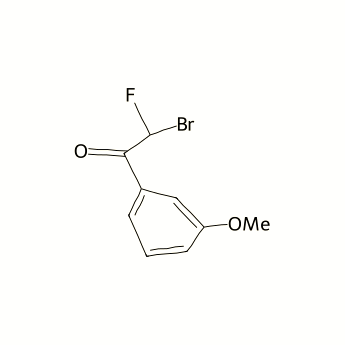 COc1cccc(C(=O)C(F)Br)c1